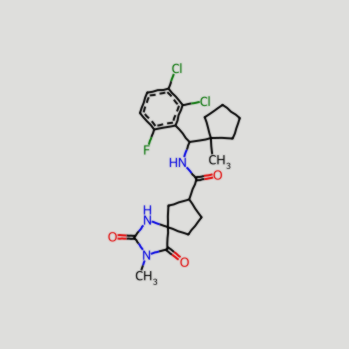 CN1C(=O)NC2(CCC(C(=O)NC(c3c(F)ccc(Cl)c3Cl)C3(C)CCCC3)C2)C1=O